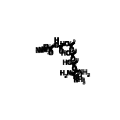 CC(=O)O.CC(=O)O.CC(=O)O.CC(=O)O.CC(=O)[O-].N.N.N.N.NCCN.[Na+]